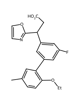 CCOc1ccc(C)cc1-c1cc(F)cc(C(CC(=O)O)c2ncco2)c1